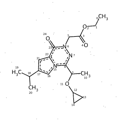 CCOC(=O)Cn1nc(C(C)OC2CC2)n2cc(C(C)C)cc2c1=O